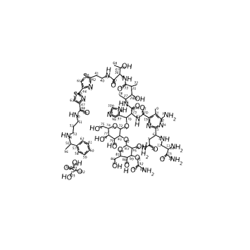 Cc1c(N)nc(C(CC(N)=O)NCC(N)C(N)=O)nc1C(=O)NC(C(=O)NC(C)C(O)C(C)C(=O)NC(C(=O)NCCc1nc(-c2nc(C(=O)NCCCNC(C)c3ccccc3)cs2)cs1)C(C)O)C(OC1OC(CO)C(O)C(O)C1OC1OC(CO)C(O)C(OC(N)=O)C1O)c1cnc[nH]1.O=S(=O)(O)O